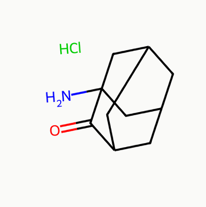 Cl.NC12CC3CC(CC(C3)C1=O)C2